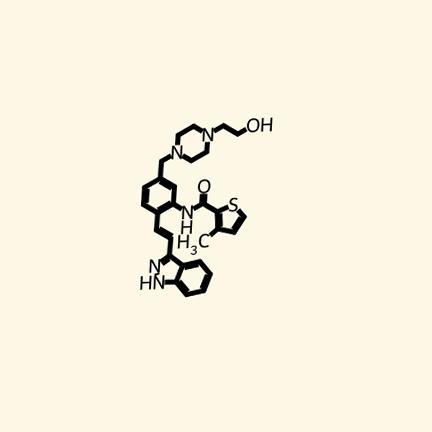 Cc1ccsc1C(=O)Nc1cc(CN2CCN(CCO)CC2)ccc1/C=C/c1n[nH]c2ccccc12